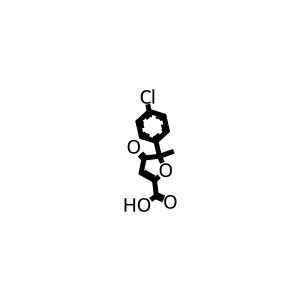 CC1(c2ccc(Cl)cc2)OC(C(=O)O)=CC1=O